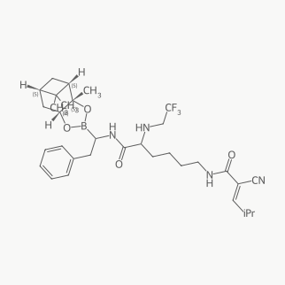 CC(C)C=C(C#N)C(=O)NCCCCC(NCC(F)(F)F)C(=O)NC(Cc1ccccc1)B1O[C@@H]2C[C@@H]3C[C@@H](C3(C)C)[C@]2(C)O1